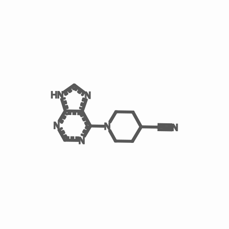 N#CC1CCN(c2ncnc3[nH]cnc23)CC1